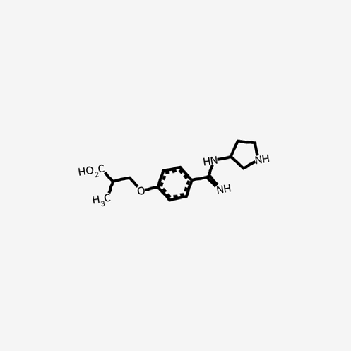 CC(COc1ccc(C(=N)NC2CCNC2)cc1)C(=O)O